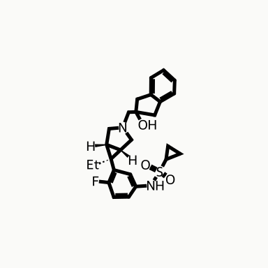 CC[C@]1(c2cc(NS(=O)(=O)C3CC3)ccc2F)[C@@H]2CN(CC3(O)Cc4ccccc4C3)C[C@@H]21